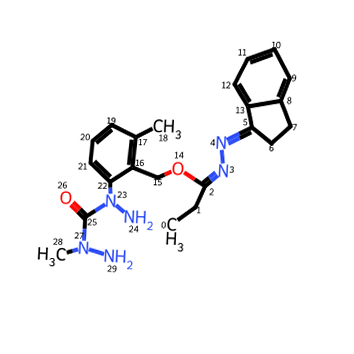 CCC(=NN=C1CCc2ccccc21)OCc1c(C)cccc1N(N)C(=O)N(C)N